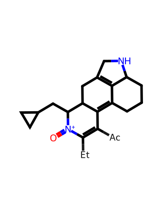 CCC1=C(C(C)=O)C2=C3CCCC4NCC(=C34)CC2C(CC2CC2)[N+]1=O